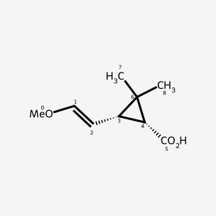 CO/C=C/[C@H]1[C@@H](C(=O)O)C1(C)C